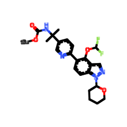 CC(C)(C)OC(=O)NC(C)(C)c1ccc(-c2ccc3c(cnn3C3CCCCO3)c2OC(F)F)nc1